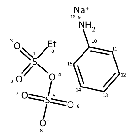 CCS(=O)(=O)OS(=O)(=O)[O-].Nc1ccccc1.[Na+]